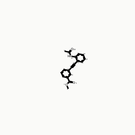 COC(=O)c1cccc(C#Cc2ccccc2NC(C)=O)c1